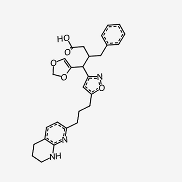 O=C(O)CC(Cc1ccccc1)C(C1=COCO1)c1cc(CCCc2ccc3c(n2)NCCC3)on1